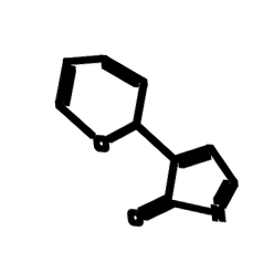 O=C1N=CC=C1C1C=CC=CO1